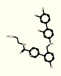 O=C(O)CCNC(=O)c1ccc(-c2cc(Cl)ccc2CNc2ccc(-c3ccc(Cl)c(F)c3)c(F)c2)cn1